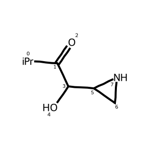 CC(C)C(=O)C(O)C1CN1